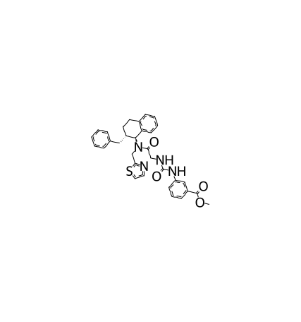 COC(=O)c1cccc(NC(=O)NCC(=O)N(Cc2nccs2)[C@@H]2c3ccccc3CC[C@H]2Cc2ccccc2)c1